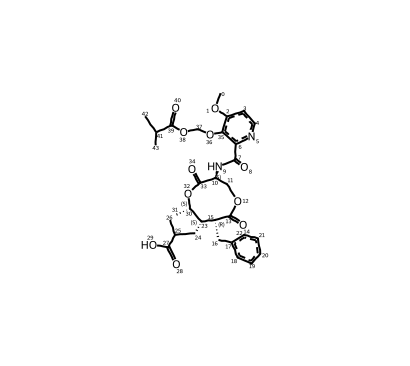 COc1ccnc(C(=O)N[C@H]2COC(=O)[C@H](Cc3ccccc3)[C@H](CC(C)C(=O)O)[C@H](C)OC2=O)c1OCOC(=O)C(C)C